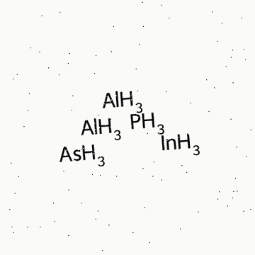 P.[AlH3].[AlH3].[AsH3].[InH3]